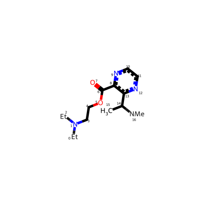 CCN(CC)CCOC(=O)c1nccnc1C(C)NC